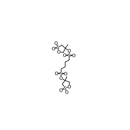 CC1(OS(=O)(=O)CCCCS(=O)(=O)OC2(C)COS(=O)(=O)C2)COS(=O)(=O)C1